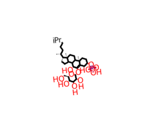 CC(C)CCC[C@@H](C)[C@H]1CCC2C3C(O)C(O[C@H]4O[C@H](CO)[C@H](O)[C@H](O)[C@H]4O)=C4CC(OP(=O)(O)O)CC[C@]4(C)C3CC[C@@]21C